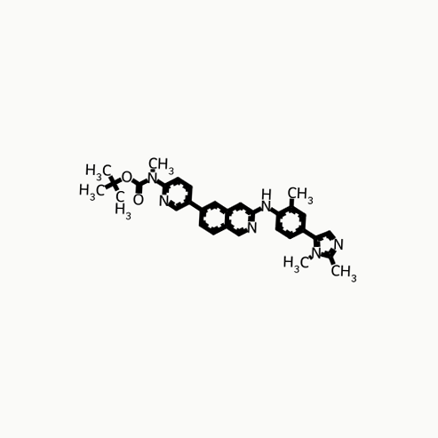 Cc1cc(-c2cnc(C)n2C)ccc1Nc1cc2cc(-c3ccc(N(C)C(=O)OC(C)(C)C)nc3)ccc2cn1